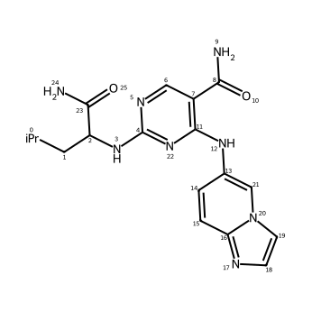 CC(C)CC(Nc1ncc(C(N)=O)c(Nc2ccc3nccn3c2)n1)C(N)=O